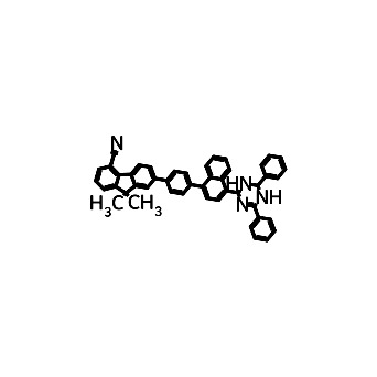 CC1(C)c2cc(-c3ccc(-c4ccc(C5N=C(c6ccccc6)NC(c6ccccc6)N5)c5ccccc45)cc3)ccc2-c2c(C#N)cccc21